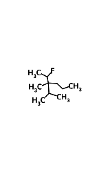 CCCC(C)(C(C)C)C(C)F